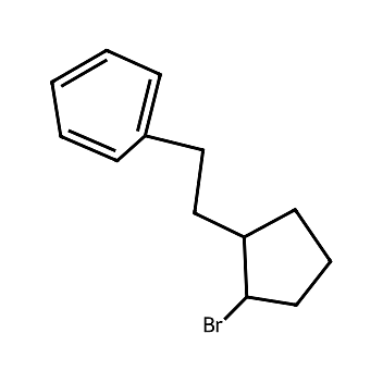 BrC1CCCC1CCc1ccccc1